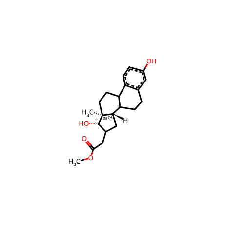 COC(=O)CC1C[C@H]2C3CCc4cc(O)ccc4C3CC[C@]2(C)[C@H]1O